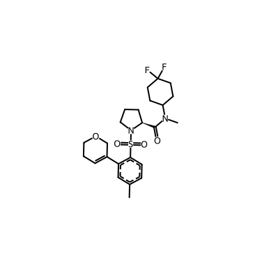 Cc1ccc(S(=O)(=O)N2CCC[C@H]2C(=O)N(C)C2CCC(F)(F)CC2)c(C2=CCCOC2)c1